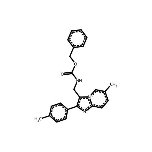 Cc1ccc(-c2nc3ccc(C)cn3c2CNC(=O)OCc2ccccc2)cc1